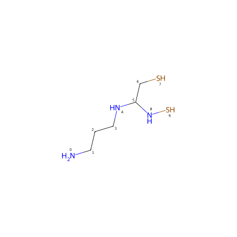 NCCCNC(CS)NS